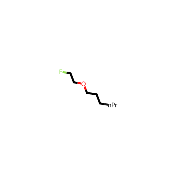 CCCCC[CH]OCCF